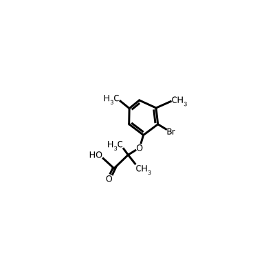 Cc1cc(C)c(Br)c(OC(C)(C)C(=O)O)c1